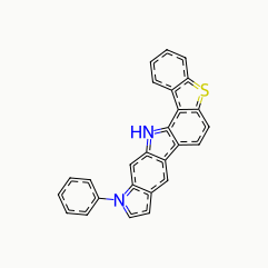 c1ccc(-n2ccc3cc4c(cc32)[nH]c2c4ccc3sc4ccccc4c32)cc1